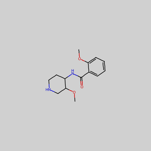 COc1ccccc1C(=O)NC1CCNCC1OC